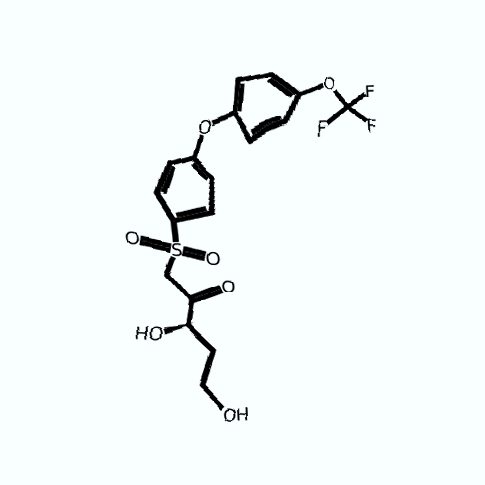 O=C(CS(=O)(=O)c1ccc(Oc2ccc(OC(F)(F)F)cc2)cc1)[C@H](O)CCO